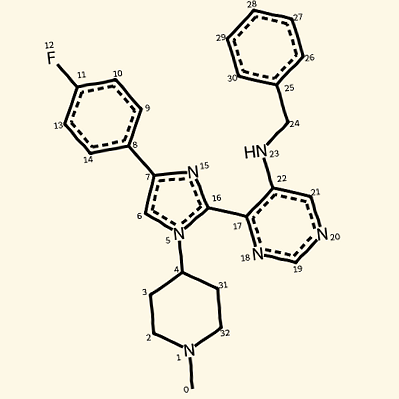 CN1CCC(n2cc(-c3ccc(F)cc3)nc2-c2ncncc2NCc2ccccc2)CC1